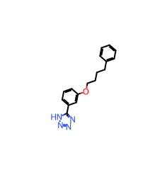 c1ccc(CCCCOc2cccc(-c3nnn[nH]3)c2)cc1